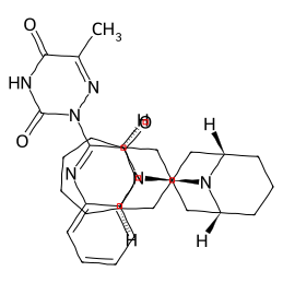 Cc1nn(-c2nc3ccccc3n([C@@H]3C[C@H]4CCC[C@@H](C3)N4[C@@H]3C[C@@H]4CCCC[C@@H](C4)C3)c2=O)c(=O)[nH]c1=O